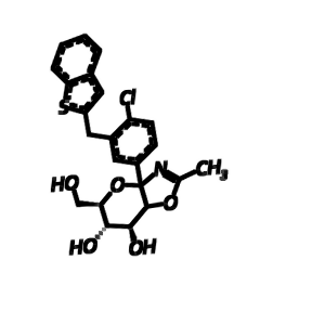 CC1=NC2(c3ccc(Cl)c(Cc4cc5ccccc5s4)c3)O[C@H](CO)[C@@H](O)[C@H](O)C2O1